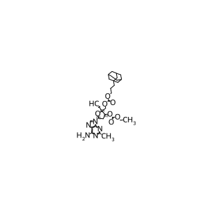 C#C[C@]1(COC(=O)OCCCC23CC4CC(CC(C4)C2)C3)O[C@@H](n2cnc3c(N)nc(C)nc32)C[C@@H]1OC(=O)OCC